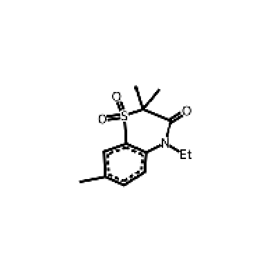 CCN1C(=O)C(C)(C)S(=O)(=O)c2cc(C)ccc21